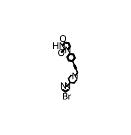 O=c1ccn(-c2ccc(C#CCN3CCC(n4cc(Br)cn4)CC3)cc2)c(=O)[nH]1